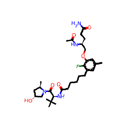 CC(=O)N[C@@H](CCC(N)=O)COc1cc(C)cc(CCCCCC(=O)N[C@H](C(=O)N2C[C@H](O)C[C@H]2C)C(C)(C)C)c1F